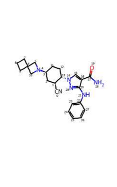 N#C[C@H]1C[C@@H](N2CC3(CCC3)C2)CC[C@@H]1n1cc(C(N)=O)c(Nc2ccccc2)n1